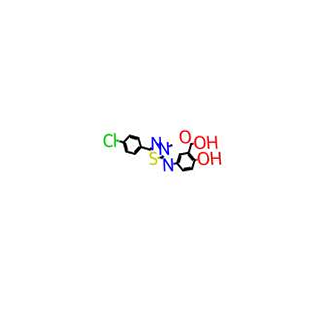 Cn1nc(-c2ccc(Cl)cc2)s/c1=N/c1ccc(O)c(C(=O)O)c1